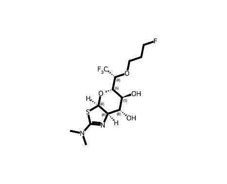 CN(C)C1=N[C@@H]2[C@@H](O)[C@H](O)[C@@H]([C@@H](OCCCF)C(F)(F)F)O[C@@H]2S1